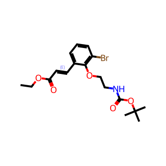 CCOC(=O)/C=C/c1cccc(Br)c1OCCNC(=O)OC(C)(C)C